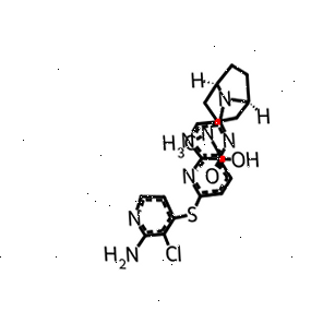 CN(C(=O)O)[C@@H]1C[C@H]2CC[C@@H](C1)N2c1cnc2nc(Sc3ccnc(N)c3Cl)ccc2n1